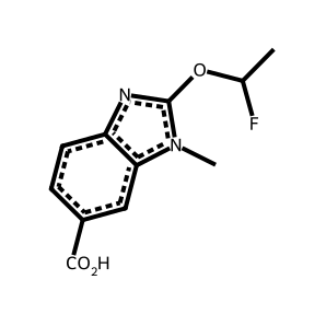 CC(F)Oc1nc2ccc(C(=O)O)cc2n1C